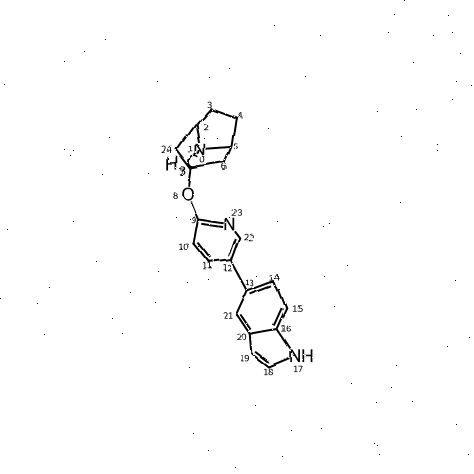 CN1C2CCC1CC(Oc1ccc(-c3ccc4[nH]ccc4c3)cn1)C2